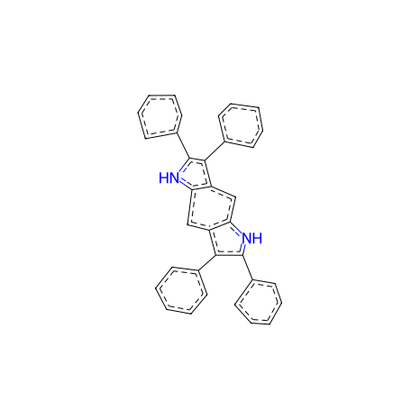 c1ccc(-c2[nH]c3cc4c(-c5ccccc5)c(-c5ccccc5)[nH]c4cc3c2-c2ccccc2)cc1